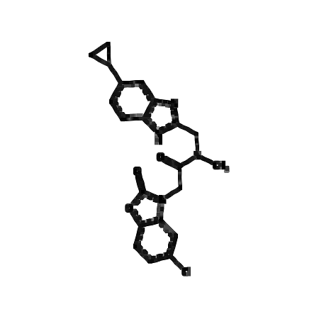 CN(Cc1nc2cc(C3CC3)ccc2[nH]1)C(=O)Cn1c(=O)oc2ccc(Cl)cc21